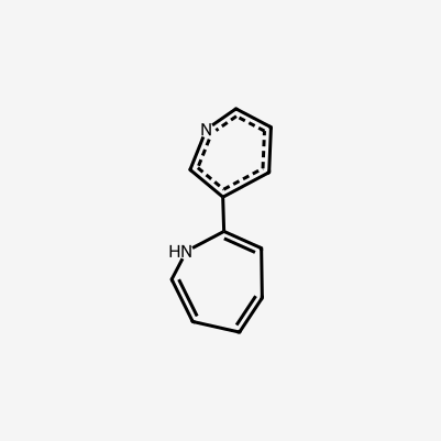 C1=CC=C(c2cccnc2)NC=C1